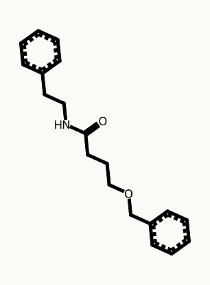 O=C(CCCOCc1ccccc1)NCCc1ccccc1